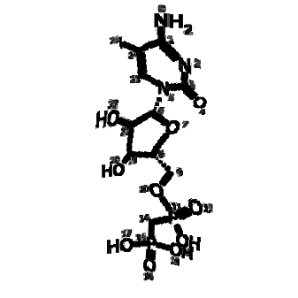 Nc1nc(=O)n([C@@H]2O[C@H](COP(=O)(O)CP(=O)(O)O)C(O)C2O)cc1I